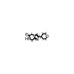 O=C1Cn2cc(C3CCOCC3)nc2CN1